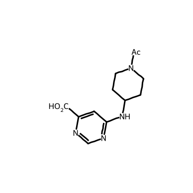 CC(=O)N1CCC(Nc2cc(C(=O)O)ncn2)CC1